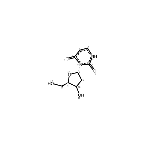 O=c1cc[nH]c(=O)n1[C@@H]1CC(O)[C@@H](CO)O1